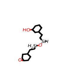 C[SiH](CCC1CCCC(O)C1)O[SiH2]CCC1CCC2OC2C1